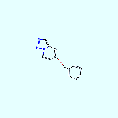 c1ccc(COc2ccn3nncc3c2)cc1